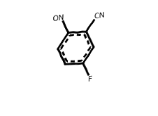 N#Cc1cc(F)ccc1N=O